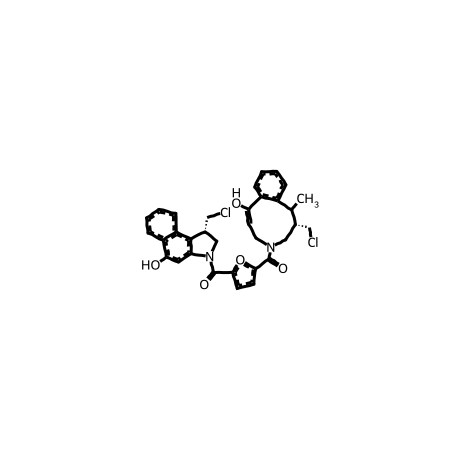 CC1c2ccccc2/C(O)=C\CN(C(=O)c2ccc(C(=O)N3C[C@@H](CCl)c4c3cc(O)c3ccccc43)o2)C[C@H]1CCl